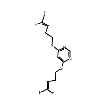 FC(F)=CCCSc1cc(SCCC=C(F)F)ncn1